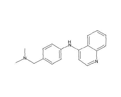 CN(C)Cc1ccc(Nc2ccnc3ccccc23)cc1